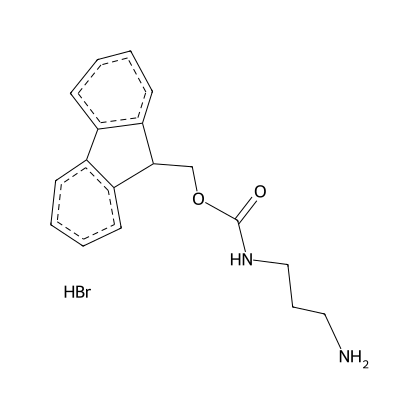 Br.NCCCNC(=O)OCC1c2ccccc2-c2ccccc21